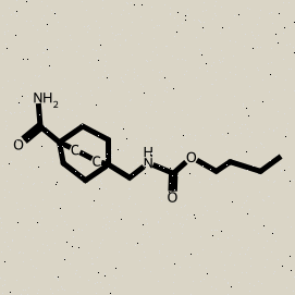 CCCCOC(=O)NCC12CCC(C(N)=O)(CC1)CC2